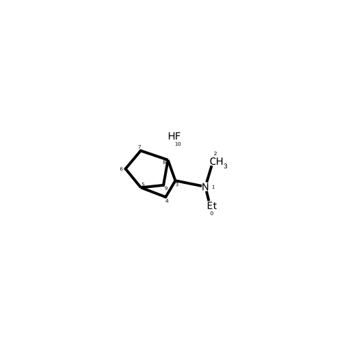 CCN(C)C1CC2CCC1C2.F